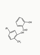 Cc1ccc(C(C)C)cc1O.O=Cc1ccccc1O